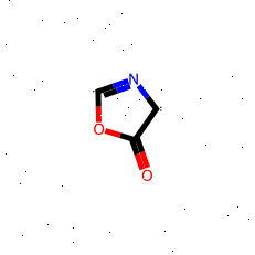 O=C1[C]N=[C]O1